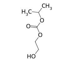 CC(C)OC(=O)OCCO